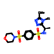 CCn1c(OC)nnc1[C@@H](C)NS(=O)(=O)c1ccc(S(=O)(=O)N2CCOCC2)cc1